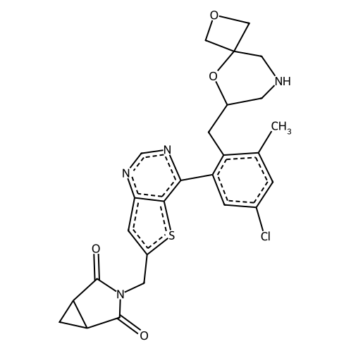 Cc1cc(Cl)cc(-c2ncnc3cc(CN4C(=O)C5CC5C4=O)sc23)c1CC1CNCC2(COC2)O1